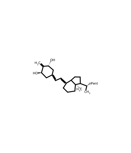 C=C1[C@H](O)CC(=C/C=C2\CCC[C@@]3(C)C2CCC3[C@@H](C)CCCCC)C[C@H]1O